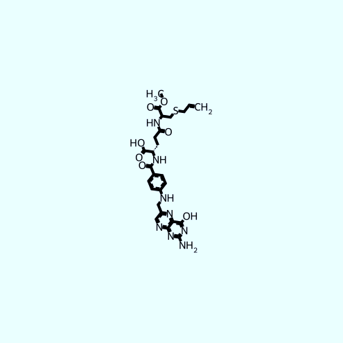 C=CCSCC(NC(=O)CC[C@H](NC(=O)c1ccc(NCc2cnc3nc(N)nc(O)c3n2)cc1)C(=O)O)C(=O)OC